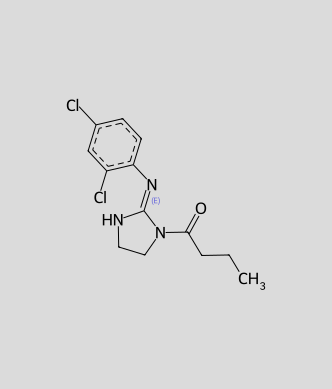 CCCC(=O)N1CCN/C1=N\c1ccc(Cl)cc1Cl